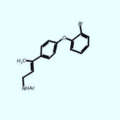 CC(=O)NCC=C(C)c1ccc(Oc2ccccc2Br)cc1